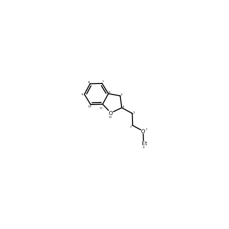 CCOCCC1Cc2ccccc2O1